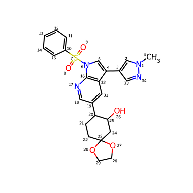 Cn1cc(-c2cn(S(=O)(=O)c3ccccc3)c3ncc(C4CCC5(CC4O)OCCO5)cc23)cn1